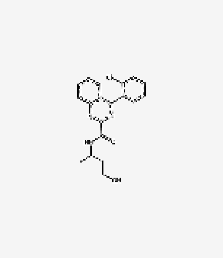 CC(CCO)NC(=O)c1nc(-c2ccccc2Cl)c2ccccc2n1